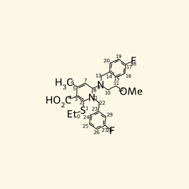 CCSC1=C(C(=O)O)C(C)=CC(N(CCOC)Cc2ccc(F)cc2)N1Cc1cccc(F)c1